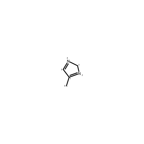 [CH2]C1=NCN=C1